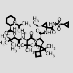 CC[C@@H]1C[C@]1(NC(=O)[C@@H]1C[C@@]2(CN1C(=O)[C@@H](NC(=O)[C@@H](NC(=O)[C@H]1CCCCN1C(C)C)C(C)(C)C)C(C)(C)C)C(C)(C)C21CCC1)C(=O)NS(=O)(=O)C1CC1